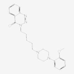 COc1ccccc1N1CCN(CCCCCn2nnc3ccccc3c2=O)CC1